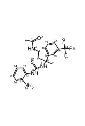 CC(=O)NCCC(C)(NC(=S)Nc1ccccc1N)c1cccc(C(F)(F)F)c1